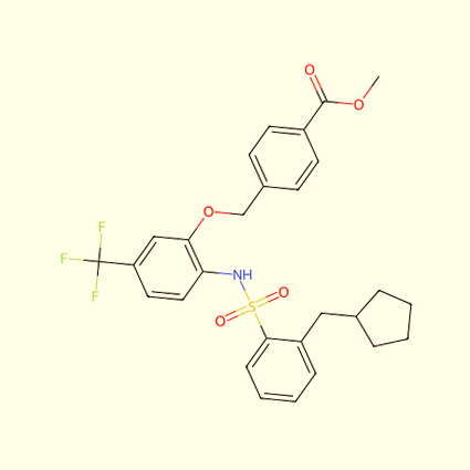 COC(=O)c1ccc(COc2cc(C(F)(F)F)ccc2NS(=O)(=O)c2ccccc2CC2CCCC2)cc1